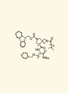 CNC(=O)[C@@H](NC(=O)[C@H]1CN(C(=O)OCC2c3ccccc3-c3ccccc32)CC12CN(C(=O)[C@H]1CC1(C)C)C2)[C@@H](C)OCc1ccccc1